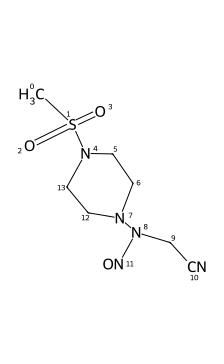 CS(=O)(=O)N1CCN(N(CC#N)N=O)CC1